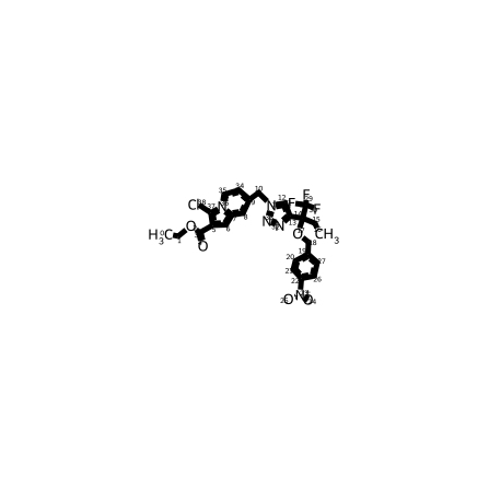 CCOC(=O)c1cc2cc(Cn3cc(C(CC)(OCc4ccc([N+](=O)[O-])cc4)C(F)(F)F)nn3)ccn2c1Cl